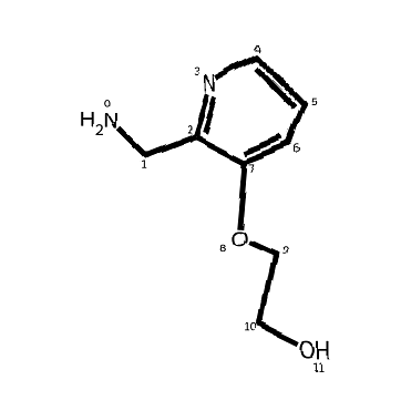 NCc1ncccc1OCCO